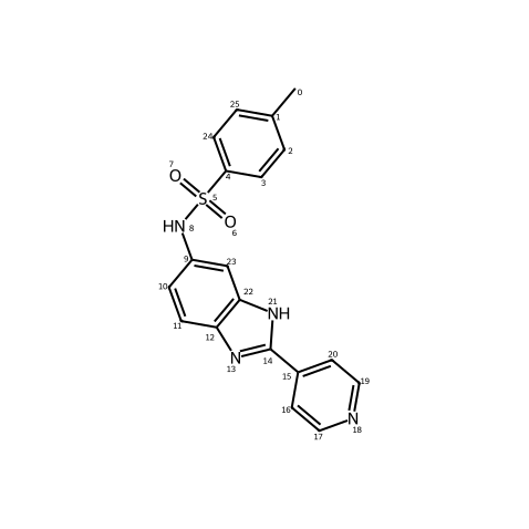 Cc1ccc(S(=O)(=O)Nc2ccc3nc(-c4ccncc4)[nH]c3c2)cc1